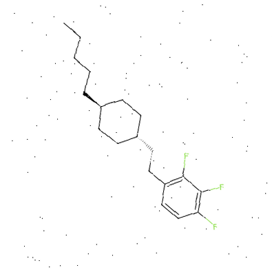 CCCCC[C@H]1CC[C@H](CCc2ccc(F)c(F)c2F)CC1